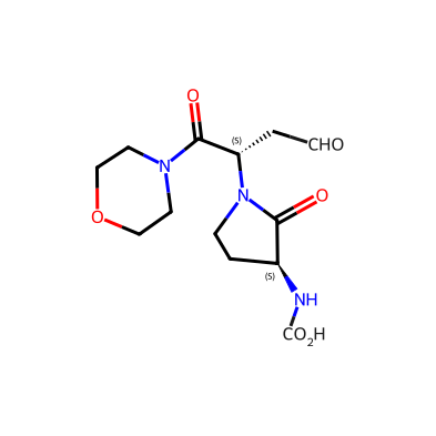 O=CC[C@@H](C(=O)N1CCOCC1)N1CC[C@H](NC(=O)O)C1=O